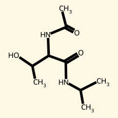 CC(=O)NC(C(=O)NC(C)C)C(C)O